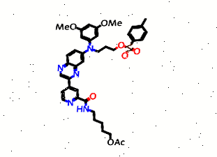 COc1cc(OC)cc(N(CCCOS(=O)(=O)c2ccc(C)cc2)c2ccc3ncc(-c4ccnc(C(=O)NCCCCCOC(C)=O)c4)nc3c2)c1